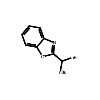 CCCCC(CCC)c1nc2ccccc2o1